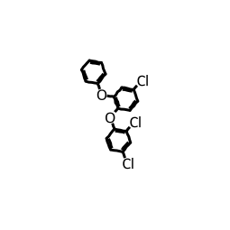 Clc1ccc(Oc2ccc(Cl)cc2Oc2ccccc2)c(Cl)c1